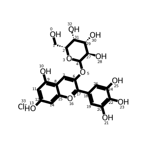 OC[C@H]1OC(Oc2cc3c(O)cc(O)cc3[o+]c2-c2cc(O)c(O)c(O)c2)[C@H](O)[C@@H](O)[C@H]1O.[Cl-]